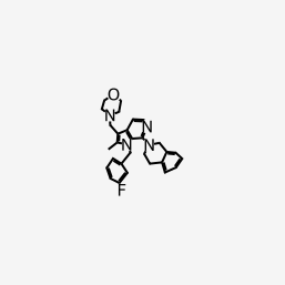 Cc1c(CN2CCOCC2)c2ccnc(N3CCc4ccccc4C3)c2n1Cc1cccc(F)c1